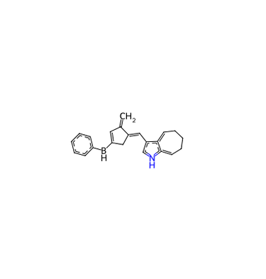 C=C1C=C(Bc2ccccc2)C/C1=C\c1c[nH]c2c1=CCCCC=2